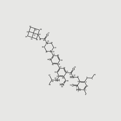 CCCc1cc(C)[nH]c(=O)c1CNC(=O)c1cc(-c2ccc(N3CCN(C(=O)CC45CC6CC7CC(C4)C765)CC3)nc2)cc(NC(C)C)c1C=N